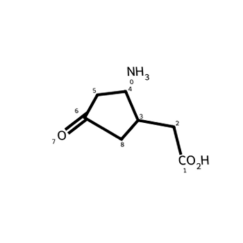 N.O=C(O)CC1CCC(=O)C1